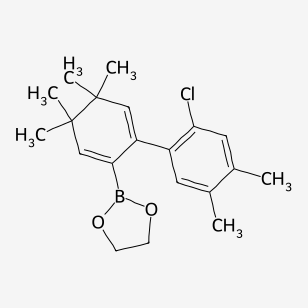 Cc1cc(Cl)c(C2=CC(C)(C)C(C)(C)C=C2B2OCCO2)cc1C